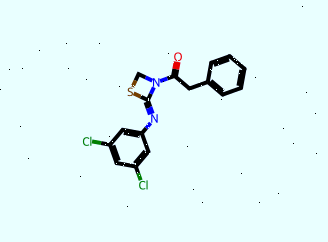 O=C(Cc1ccccc1)N1CSC1=Nc1cc(Cl)cc(Cl)c1